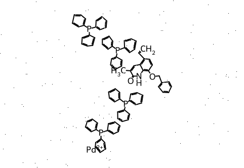 C=Cc1ccc(OCc2ccccc2)c2[nH]c(=O)c(C)cc12.[Pd+2].c1ccc(P(c2ccccc2)c2ccccc2)cc1.c1ccc(P(c2ccccc2)c2ccccc2)cc1.c1ccc(P(c2ccccc2)c2ccccc2)cc1.c1ccc(P(c2ccccc2)c2ccccc2)cc1